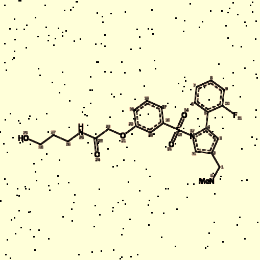 CNCc1cc(-c2ccccc2F)n(S(=O)(=O)c2cccc(OCC(=O)NCCCO)c2)c1